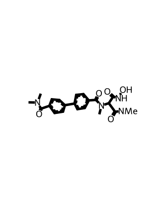 CNC(=O)C(C(=O)NO)N(C)C(=O)c1ccc(-c2ccc(C(=O)N(C)C)cc2)cc1